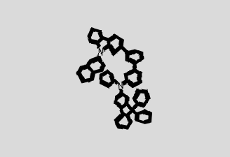 c1ccc(N(c2cccc(-c3cccc(-c4ccc5c6ccccc6n(-c6ccc7ccccc7c6)c5c4)c3)c2)c2ccc3c(c2)C(c2ccccc2)(c2ccccc2)c2ccccc2-3)cc1